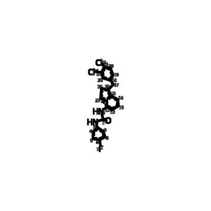 O=C(Nc1ccc(F)cc1)Nc1cccc2c(Cc3ccc(Cl)c(Cl)c3)ccn12